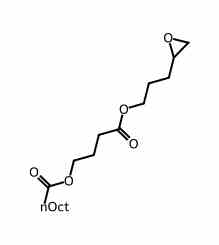 CCCCCCCCC(=O)OCCCC(=O)OCCCC1CO1